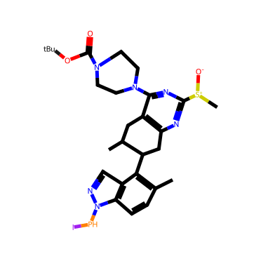 Cc1ccc2c(cnn2PI)c1C1Cc2nc([S+](C)[O-])nc(N3CCN(C(=O)OC(C)(C)C)CC3)c2CC1C